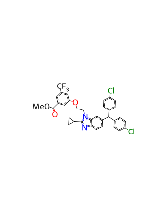 COC(=O)c1cc(OCCn2c(C3CC3)nc3ccc(C(c4ccc(Cl)cc4)c4ccc(Cl)cc4)cc32)cc(C(F)(F)F)c1